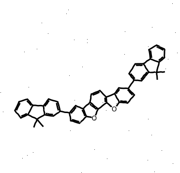 CC1(C)c2ccccc2-c2ccc(-c3ccc4oc5c(ccc6c7cc(-c8ccc9c(c8)C(C)(C)c8ccccc8-9)ccc7oc65)c4c3)cc21